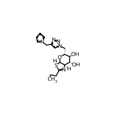 CCCC1=N[C@@H]2[C@@H](O)[C@H](O)[C@@H](Cn3cc(Cn4cccc4)nn3)O[C@@H]2S1